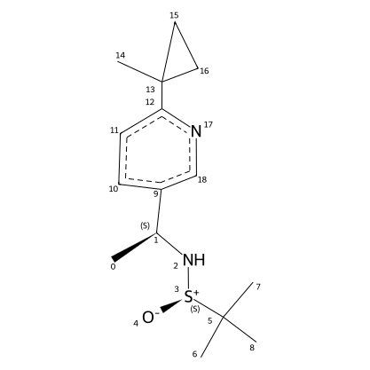 C[C@H](N[S@+]([O-])C(C)(C)C)c1ccc(C2(C)CC2)nc1